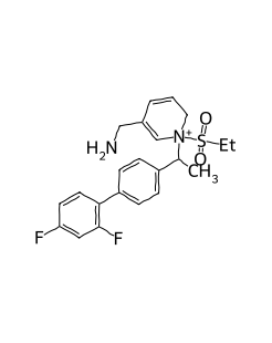 CCS(=O)(=O)[N+]1(C(C)c2ccc(-c3ccc(F)cc3F)cc2)C=C(CN)C=CC1